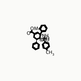 COC(=O)C1=C[C@@](NS(=O)(=O)c2ccc(C)cc2)(c2ccccc2)[C@H](C=O)[C@@H](c2ccccc2)C1